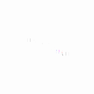 [CH2]C/C=C/CC/C=N/OC